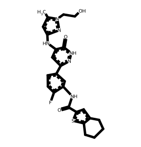 Cc1cc(Nc2cc(-c3ccc(F)c(NC(=O)c4cc5c(s4)CCCC5)c3)n[nH]c2=O)nn1CCO